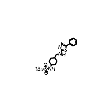 CC(C)(C)S(=O)(=O)NC1CCC(CNc2nnc(-c3ccccc3)s2)CC1